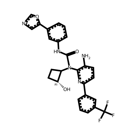 Nc1ccc(-c2cccc(C(F)(F)F)c2)nc1N(C(=O)Nc1cccc(-c2cnco2)c1)C1CC[C@H]1O